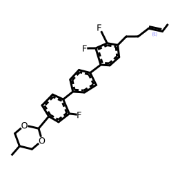 C/C=C/CCc1ccc(-c2ccc(-c3ccc(C4OCC(C)CO4)cc3F)cc2)c(F)c1F